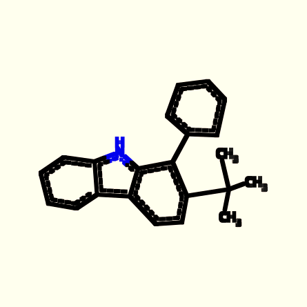 CC(C)(C)c1ccc2c([nH]c3ccccc32)c1-c1ccccc1